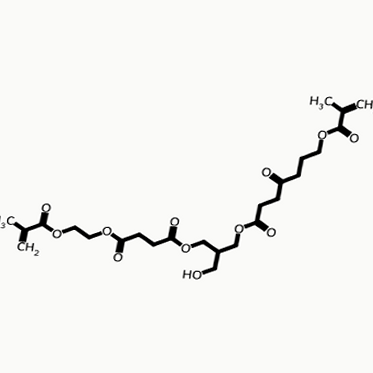 C=C(C)C(=O)OCCCC(=O)CCC(=O)OCC(CO)COC(=O)CCC(=O)OCCOC(=O)C(=C)C